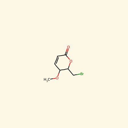 COC1C=CC(=O)OC1CBr